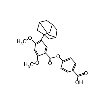 COc1cc(OC)c(C23CC4CC(CC(C4)C2)C3)cc1C(=O)Oc1ccc(C(=O)O)cc1